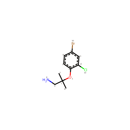 CC(C)(CN)Oc1ccc(Br)cc1Cl